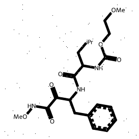 COCCOC(=O)NC(CC(C)C)C(=O)NC(Cc1ccccc1)C(=O)C(=O)NOC